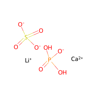 O=P([O-])(O)O.O=S(=O)([O-])[O-].[Ca+2].[Li+]